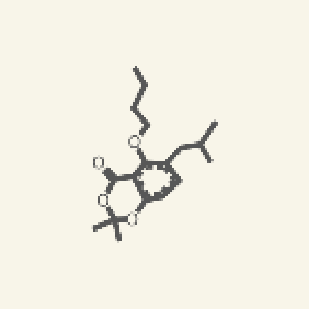 CCCCOc1c(CC(C)C)ccc2c1C(=O)OC(C)(C)O2